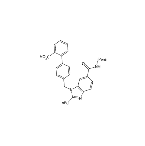 CCCCc1nc2ccc(C(=O)NC(C)CCC)cc2n1Cc1ccc(-c2ccccc2C(=O)O)cc1